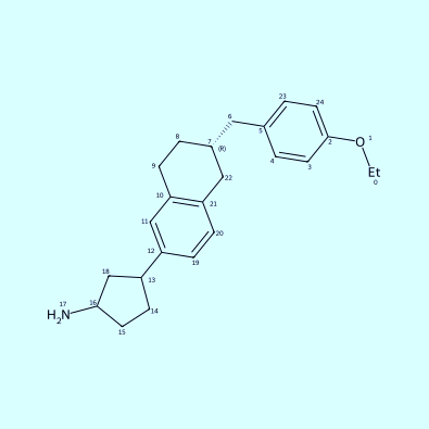 CCOc1ccc(C[C@H]2CCc3cc(C4CCC(N)C4)ccc3C2)cc1